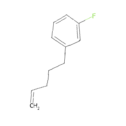 C=CCCCc1cccc(F)c1